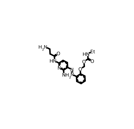 CCNC(=O)OCOc1ccccc1/N=N/c1ccc(NC(=O)CCN)nc1N